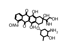 COc1cccc2c1C(=O)c1c(O)c3c(c(O)c1C2=O)CC(O)(C(=N)CO)C[C@@H]3O[C@@H]1CC(C)C(O)C(N)C1